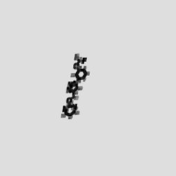 FC(F)Oc1cccc(-n2cc(COc3ncccn3)nn2)c1